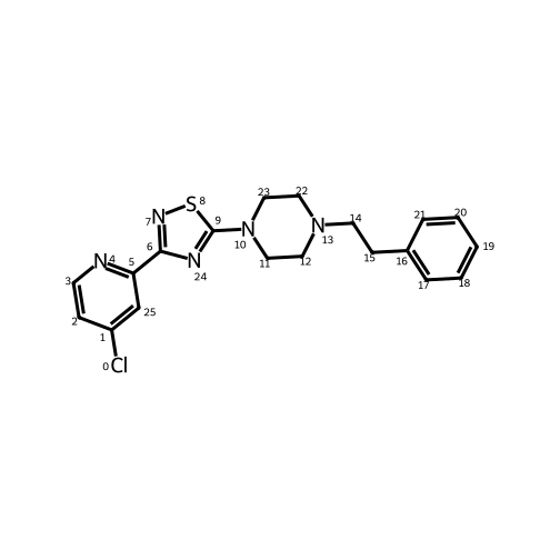 Clc1ccnc(-c2nsc(N3CCN(CCc4ccccc4)CC3)n2)c1